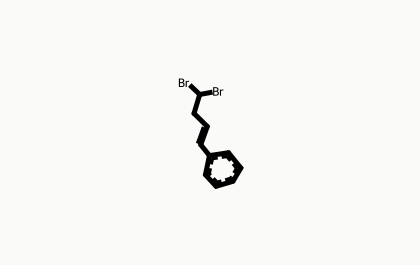 BrC(Br)CC=Cc1ccccc1